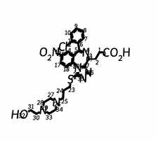 O=C(O)CC[C@@H]1N=C(c2ccccc2Cl)c2cc([N+](=O)[O-])ccc2-n2c(SCCCN3CCN(CCO)CC3)nnc21